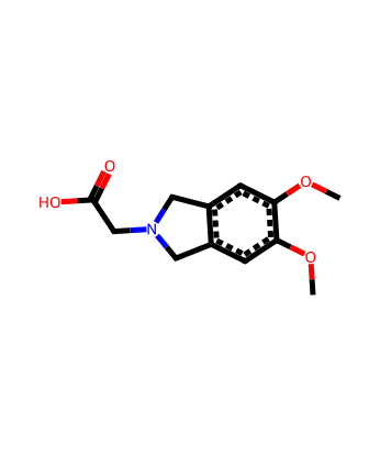 COc1cc2c(cc1OC)CN(CC(=O)O)C2